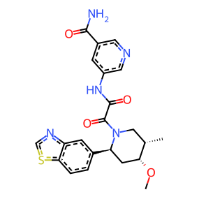 CO[C@@H]1C[C@@H](c2ccc3scnc3c2)N(C(=O)C(=O)Nc2cncc(C(N)=O)c2)C[C@@H]1C